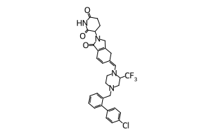 O=C1CCC(N2CC3=C(C=CC(=CN4CCN(Cc5ccccc5-c5ccc(Cl)cc5)CC4C(F)(F)F)C3)C2=O)C(=O)N1